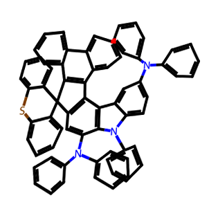 c1ccc(N(c2ccccc2)c2ccc3c(c2)c2c4c(cc(N(c5ccccc5)c5ccccc5)c2n3-c2ccccc2)C2(c3ccccc3Sc3ccccc32)c2c-4c3ccccc3c3ccccc23)cc1